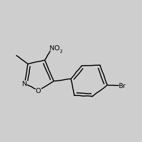 Cc1noc(-c2ccc(Br)cc2)c1[N+](=O)[O-]